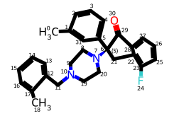 Cc1cccc([C@@]2(N3CCN(Cc4ccccc4C)CC3)Cc3c(F)cccc3C2=O)c1